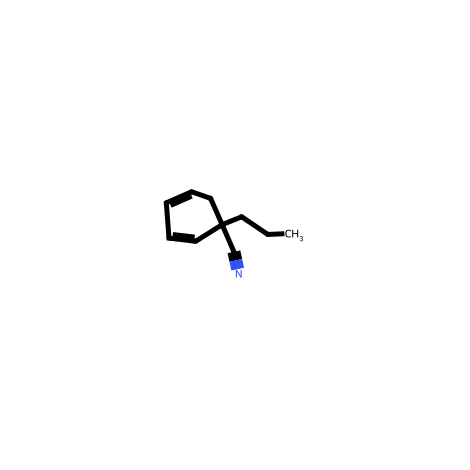 CCCC1(C#N)C=CC=CC1